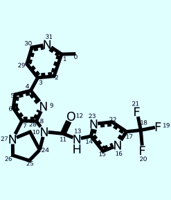 Cc1cc(-c2ccc3c(n2)N(C(=O)Nc2cnc(C(F)(F)F)cn2)C2CCN3C2)ccn1